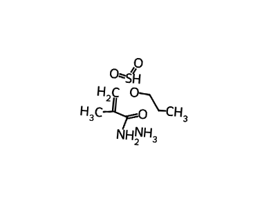 C=C(C)C(N)=O.CCCO[SH](=O)=O.N